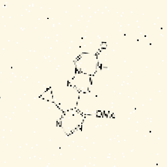 COc1ncnc(C2CC2)c1-c1cc2[nH]c(=O)ccn2n1